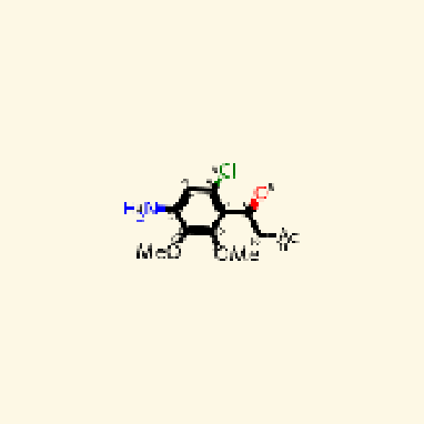 COc1c(N)cc(Cl)c(C(=O)CC(C)=O)c1OC